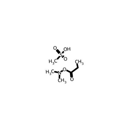 CCC(=O)ON(C)C.CS(=O)(=O)O